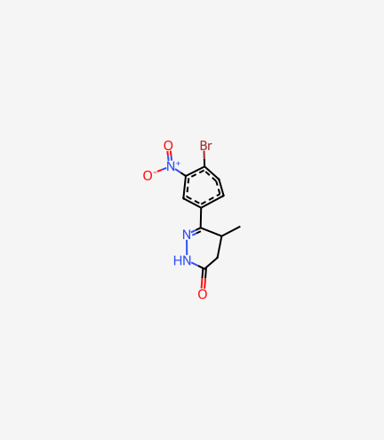 CC1CC(=O)NN=C1c1ccc(Br)c([N+](=O)[O-])c1